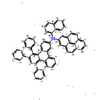 c1ccc(-c2cc(-c3ccccc3)c3c4ccccc4c4cc(N(c5cc6ccc7cccc8ccc(c5)c6c78)c5cccc6ccccc56)ccc4c3c2-c2ccccc2)cc1